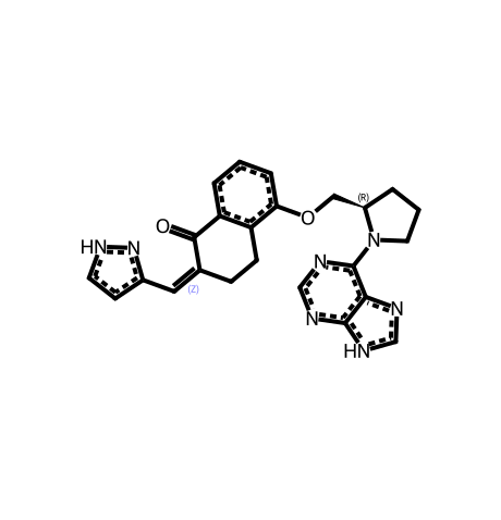 O=C1/C(=C\c2cc[nH]n2)CCc2c(OC[C@H]3CCCN3c3ncnc4[nH]cnc34)cccc21